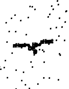 CCCCCCCCO[PH](=O)OCCCCCCCC